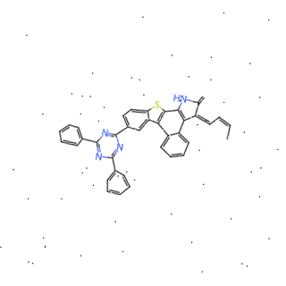 C=c1[nH]c2c3sc4ccc(-c5nc(-c6ccccc6)nc(-c6ccccc6)n5)cc4c3c3ccccc3c2/c1=C/C=C\C